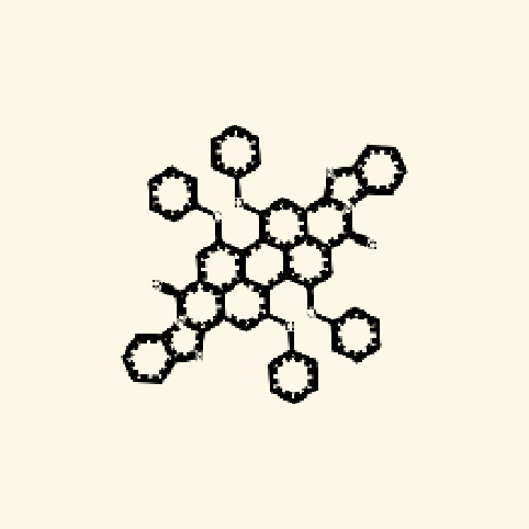 O=c1c2cc(Oc3ccccc3)c3c4c(Oc5ccccc5)cc5c6c(cc(Oc7ccccc7)c(c7c(Oc8ccccc8)cc(c2c37)c2nc3ccccc3n12)c46)c(=O)n1c2ccccc2nc51